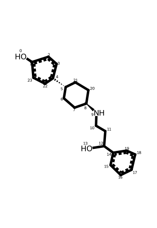 Oc1ccc([C@H]2CC[C@H](NCCC(O)c3ccccc3)CC2)cc1